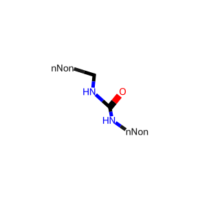 CCCCCCCCCCNC(=O)NCCCCCCCCC